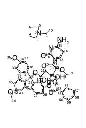 CCN(CC)CC.CCO[C@H]1[C@H](n2ccc(N)nc2=O)O[C@H](COC(c2ccccc2)(c2ccc(OC)cc2)c2ccc(OC)cc2)[C@]1(O)P(=O)(O)OC(=O)c1ccccc1